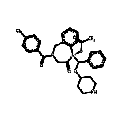 O=C(c1ccc(Cl)cc1)N1CC(=O)[N+](OC(=O)C(F)(F)F)(C(OC2CCNCC2)c2ccccc2)c2ccccc2C1